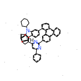 C1=CCCC(c2cc(-c3ccccc3)nc(-c3ccc4c5ccccc5c5cccc(-c6ccc7c(c6)N(C6CCCCC6)C6C=CC=C[C@H]76)c5c4c3)n2)=C1